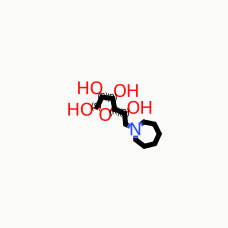 O[C@@H]1[C@@H](O)[C@@H](O)O[C@@H]1[C@H](O)CN1CCCCCC1